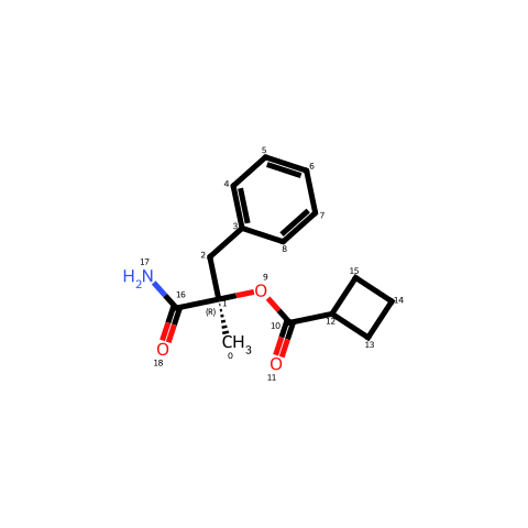 C[C@](Cc1ccccc1)(OC(=O)C1CCC1)C(N)=O